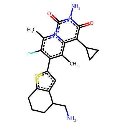 Cc1c(-c2cc3c(s2)CCCC3CN)c(F)c(C)n2c(=O)n(N)c(=O)c(C3CC3)c12